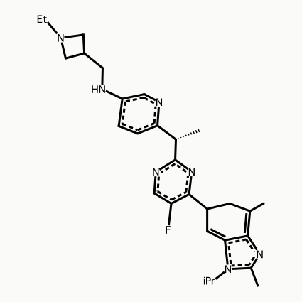 CCN1CC(CNc2ccc([C@H](C)c3ncc(F)c(C4C=c5c(nc(C)n5C(C)C)=C(C)C4)n3)nc2)C1